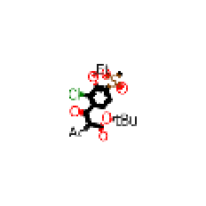 CCOc1c(S(C)(=O)=O)ccc(C(=O)C(C(C)=O)C(=O)OC(C)(C)C)c1Cl